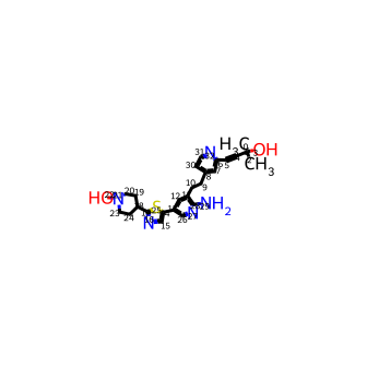 CC(C)(O)C#Cc1cc(CCc2cc(-c3cnc(C4CCN(O)CC4)s3)cnc2N)ccn1